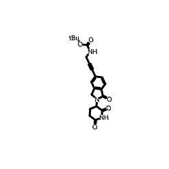 CC(C)(C)OC(=O)NCC#Cc1ccc2c(c1)CN(C1CCC(=O)NC1=O)C2=O